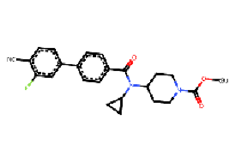 CC(C)(C)OC(=O)N1CCC(N(C(=O)c2ccc(-c3ccc(C#N)c(F)c3)cc2)C2CC2)CC1